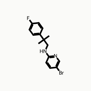 CC(C)(CNc1ccc(Br)cn1)c1ccc(F)cc1